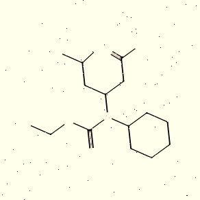 CCOC(=O)N(C1CCCCC1)C(CC(=O)O)CC(C)C